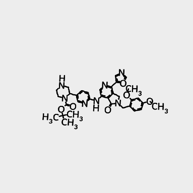 COc1ccc(CN2Cc3c(-c4cnco4)ncc(Nc4ccc(C5CNCCN5C(=O)OC(C)(C)C)cn4)c3C2=O)c(OC)c1